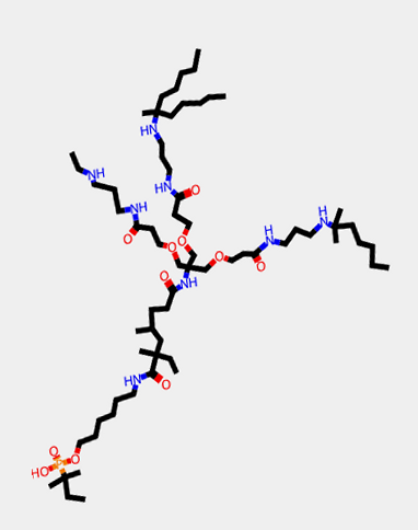 CCCCCC(C)(C)NCCCNC(=O)CCOCC(COCCC(=O)NCCCNCC)(COCCC(=O)NCCCNC(C)(CCCCC)CCCCC)NC(=O)CCC(C)CC(C)(CC)C(=O)NCCCCCCOP(=O)(O)C(C)(C)CC